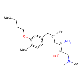 COCCCOc1cc(C[C@@H](C[C@H](N)[C@@H](O)CN(C)C(C)=O)C(C)C)ccc1OC